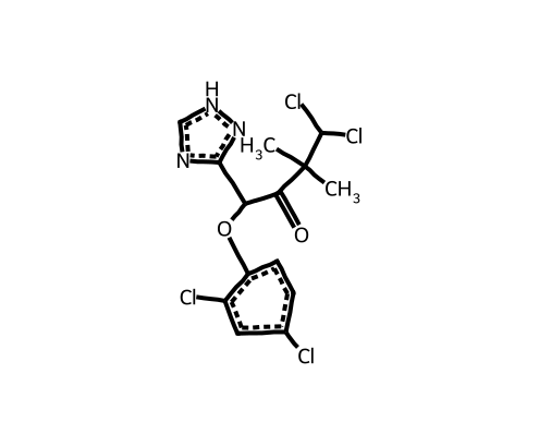 CC(C)(C(=O)C(Oc1ccc(Cl)cc1Cl)c1nc[nH]n1)C(Cl)Cl